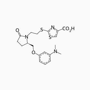 CN(C)c1cccc(OC[C@H]2CCC(=O)N2CCSc2nc(C(=O)O)cs2)c1